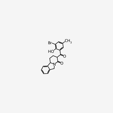 Cc1cc(Br)c(O)c(C(=O)C2CCC3c4ccccc4CN3C2=O)c1